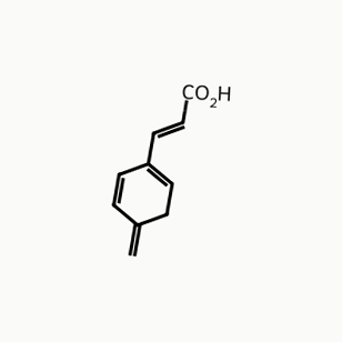 C=C1C=CC(C=CC(=O)O)=CC1